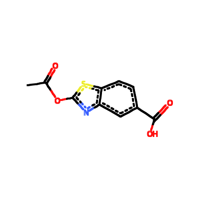 CC(=O)Oc1nc2cc(C(=O)O)ccc2s1